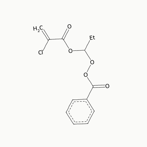 C=C(Cl)C(=O)OC(CC)OOC(=O)c1ccccc1